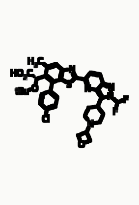 Cc1cc2nc(-c3ccc4nn(C(F)F)c(C5CCN(C6COC6)CC5)c4n3)sc2c(-c2ccc(Cl)cc2)c1[C@H](OC(C)(C)C)C(=O)O